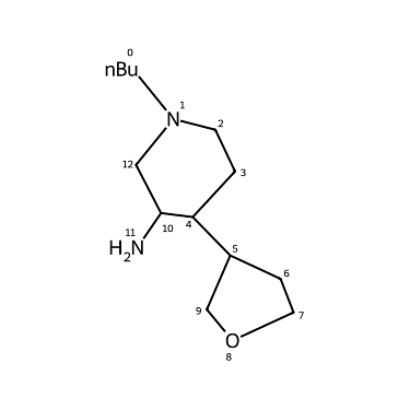 CCCCN1CCC(C2CCOC2)C(N)C1